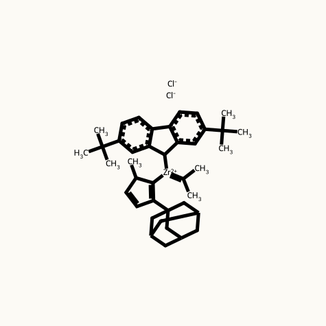 C[C](C)=[Zr+2]([C]1=C(C23CC4CC(CC(C4)C2)C3)C=CC1C)[CH]1c2cc(C(C)(C)C)ccc2-c2ccc(C(C)(C)C)cc21.[Cl-].[Cl-]